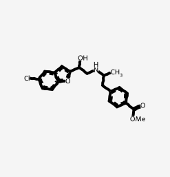 COC(=O)c1ccc(CC(C)NCC(O)c2cc3cc(Cl)ccc3o2)cc1